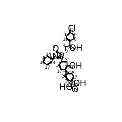 O=C1[C@H](CC[C@H](O)c2ccc(Cl)cc2)[C@@H](c2ccc(-c3ccc(P(=O)(O)O)cc3)c(O)c2)N1c1ccccc1